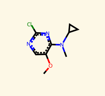 COc1cnc(Cl)nc1N(C)C1CC1